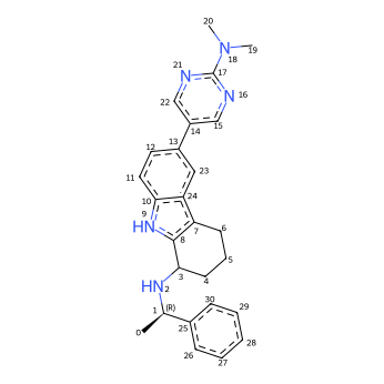 C[C@@H](NC1CCCc2c1[nH]c1ccc(-c3cnc(N(C)C)nc3)cc21)c1ccccc1